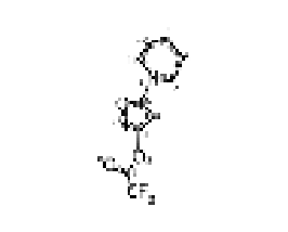 O=C(Oc1cc(-[n+]2ccccc2)on1)C(F)(F)F